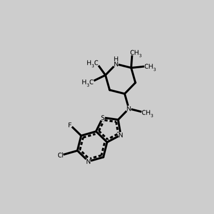 CN(c1nc2cnc(Cl)c(F)c2s1)C1CC(C)(C)NC(C)(C)C1